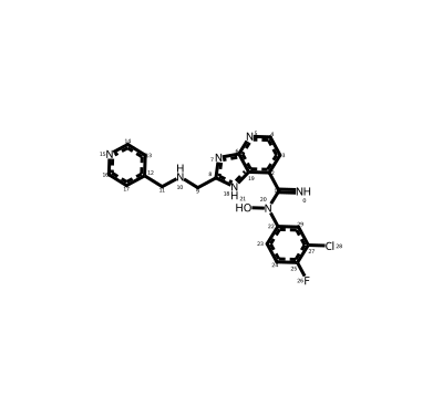 N=C(c1ccnc2nc(CNCc3ccncc3)[nH]c12)N(O)c1ccc(F)c(Cl)c1